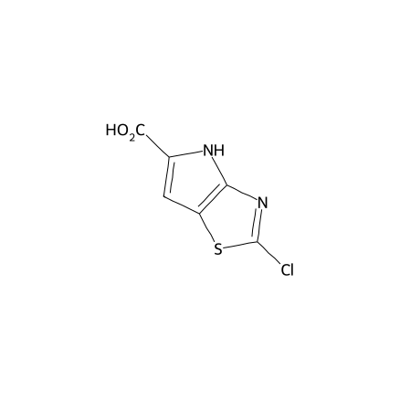 O=C(O)c1cc2sc(Cl)nc2[nH]1